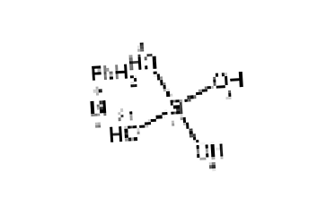 B.O[Si](O)(O)O.[PbH2]